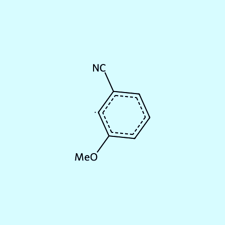 COc1[c]c(C#N)ccc1